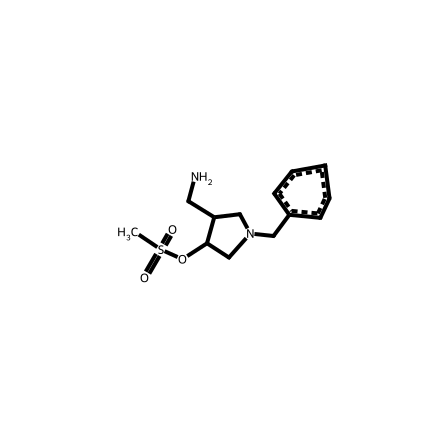 CS(=O)(=O)OC1CN(Cc2ccccc2)CC1CN